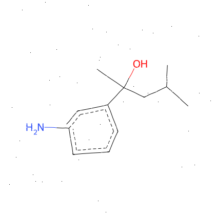 CC(C)CC(C)(O)c1cccc(N)c1